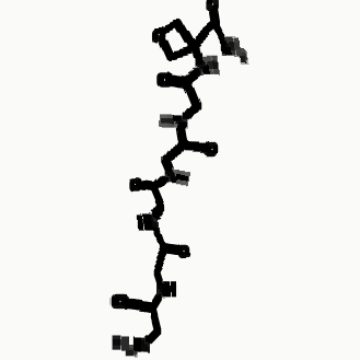 NCC(=O)NCC(=O)NCC(=O)NCC(=O)NCC(=O)NC1(C(N)=O)COC1